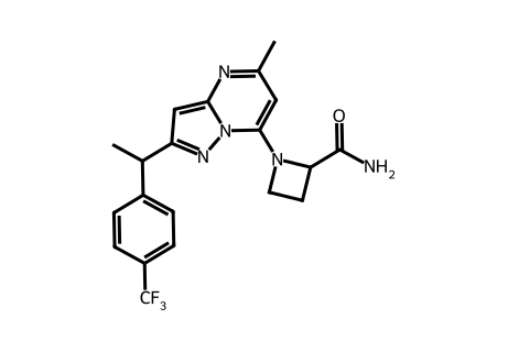 Cc1cc(N2CCC2C(N)=O)n2nc(C(C)c3ccc(C(F)(F)F)cc3)cc2n1